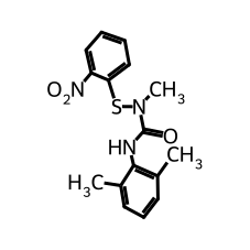 Cc1cccc(C)c1NC(=O)N(C)Sc1ccccc1[N+](=O)[O-]